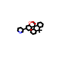 CC1(C)c2ccccc2C2(c3ccccc3Oc3cc(-c4cccnc4)ccc32)c2ccccc21